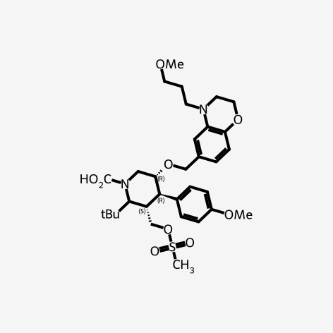 COCCCN1CCOc2ccc(CO[C@H]3CN(C(=O)O)C(C(C)(C)C)[C@@H](COS(C)(=O)=O)[C@@H]3c3ccc(OC)cc3)cc21